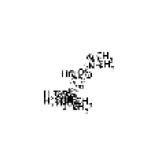 C=C(C)C(=O)NCC(=O)OC1CCC(CC[Si](C)(O[Si](C)(C)C)O[Si](C)(C)C)CC1O